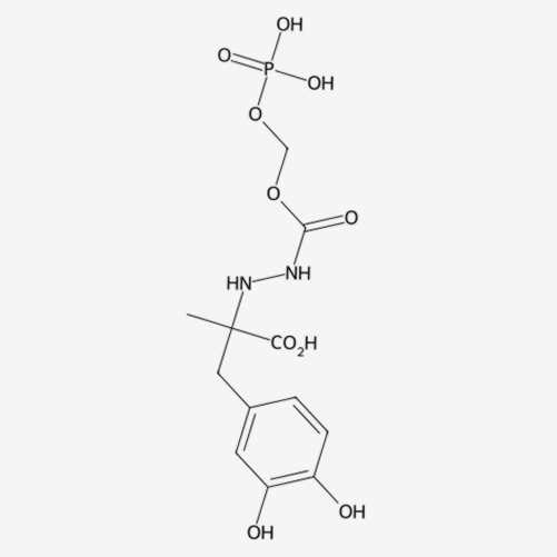 CC(Cc1ccc(O)c(O)c1)(NNC(=O)OCOP(=O)(O)O)C(=O)O